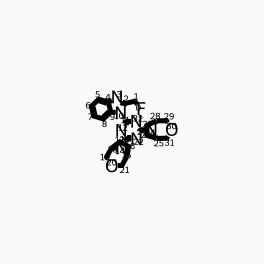 FCc1nc2ccccc2n1-c1nc(N2C3CCC2COC3)nc(N2C3CCC2COC3)n1